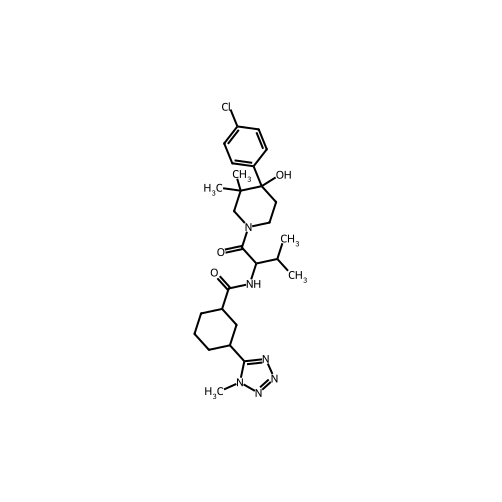 CC(C)C(NC(=O)C1CCCC(c2nnnn2C)C1)C(=O)N1CCC(O)(c2ccc(Cl)cc2)C(C)(C)C1